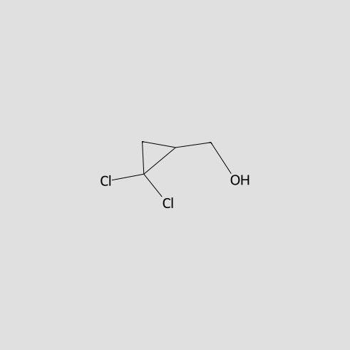 OCC1CC1(Cl)Cl